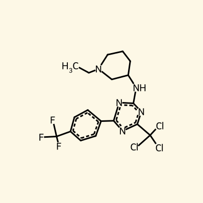 CCN1CCCC(Nc2nc(-c3ccc(C(F)(F)F)cc3)nc(C(Cl)(Cl)Cl)n2)C1